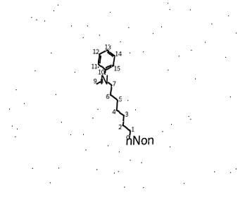 CCCCCCCCCCCCCCCCN(C)c1[c]cccc1